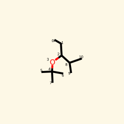 [CH2]CC(OC(C)(C)C)C(C)C